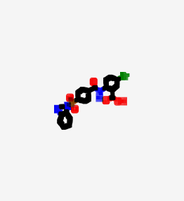 O=C(Nc1ccc(Br)cc1C(=O)O)c1ccc(S(=O)(=O)n2cnc3ccccc32)cc1